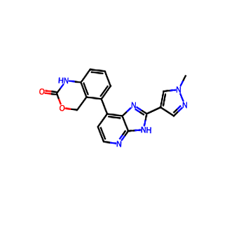 Cn1cc(-c2nc3c(-c4cccc5c4COC(=O)N5)ccnc3[nH]2)cn1